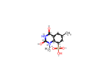 Cc1cc(S(=O)(=O)O)c2c(c1)c(=O)[nH]c(=O)n2C